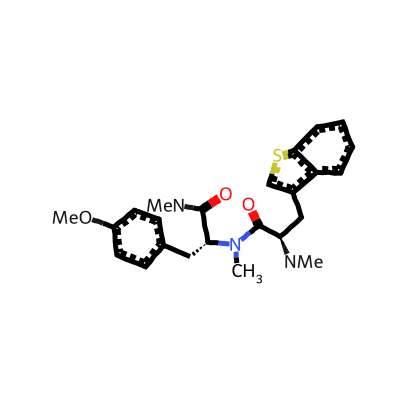 CNC(=O)[C@@H](Cc1ccc(OC)cc1)N(C)C(=O)[C@@H](Cc1csc2ccccc12)NC